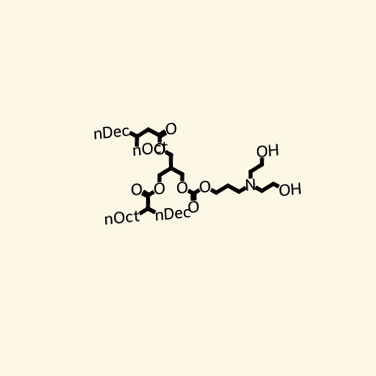 CCCCCCCCCCC(CCCCCCCC)CC(=O)OCC(COC(=O)OCCCN(CCO)CCO)COC(=O)C(CCCCCCCC)CCCCCCCCCC